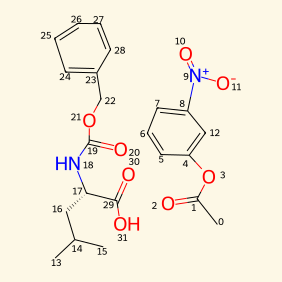 CC(=O)Oc1cccc([N+](=O)[O-])c1.CC(C)C[C@H](NC(=O)OCc1ccccc1)C(=O)O